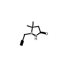 C#CCN1NC(=O)CC1(C)C